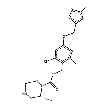 CC[C@@H]1CNCCN1C(=O)OCc1c(F)cc(OCc2csc(C)n2)cc1Cl